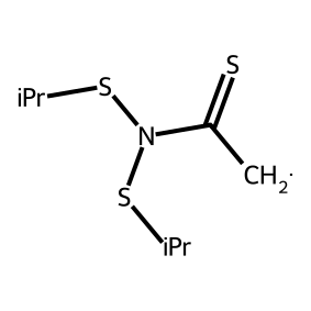 [CH2]C(=S)N(SC(C)C)SC(C)C